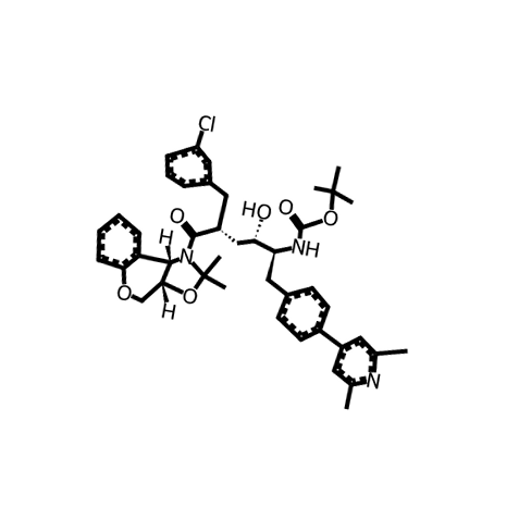 Cc1cc(-c2ccc(C[C@H](NC(=O)OC(C)(C)C)[C@@H](O)C[C@@H](Cc3cccc(Cl)c3)C(=O)N3[C@H]4c5ccccc5OC[C@H]4OC3(C)C)cc2)cc(C)n1